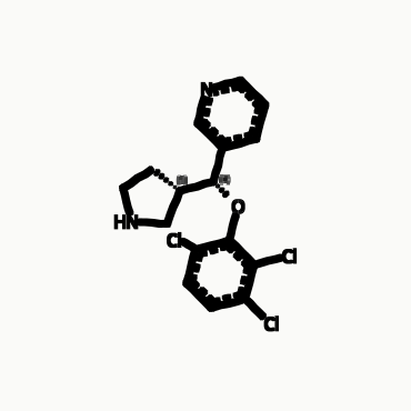 Clc1ccc(Cl)c(O[C@@H](c2cccnc2)[C@H]2CCNC2)c1Cl